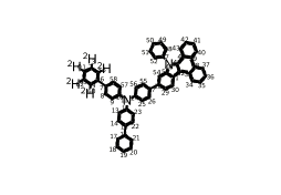 [2H]c1c([2H])c([2H])c(-c2ccc(N(c3ccc(-c4ccccc4)cc3)c3ccc(-c4ccc5c6c7ccccc7c7ccccc7c6n(-c6ccccc6)c5c4)cc3)cc2)c([2H])c1[2H]